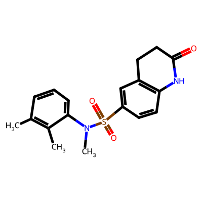 Cc1cccc(N(C)S(=O)(=O)c2ccc3c(c2)CCC(=O)N3)c1C